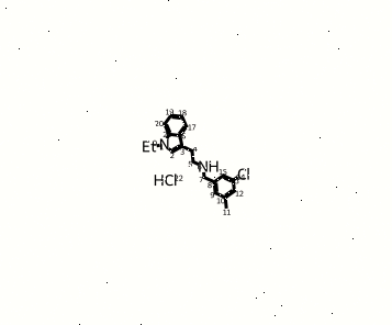 CCn1cc(CCNCc2cc(C)cc(Cl)c2)c2ccccc21.Cl